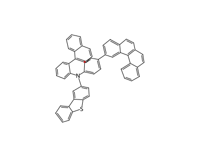 c1ccc(N(c2ccc(-c3ccc4ccc5ccc6ccccc6c5c4c3)cc2)c2ccc3sc4ccccc4c3c2)c(-c2cccc3ccccc23)c1